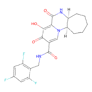 O=C(NCc1c(F)cc(F)cc1F)c1cn2c(c(O)c1=O)C(=O)N[C@H]1CCCCC[C@H]12